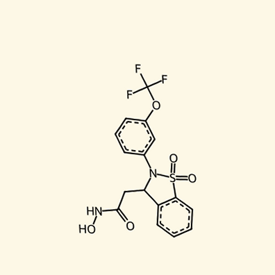 O=C(CC1c2ccccc2S(=O)(=O)N1c1cccc(OC(F)(F)F)c1)NO